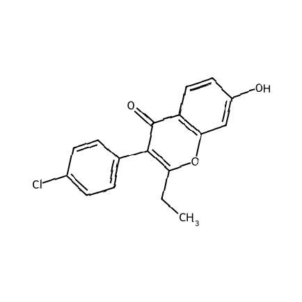 CCc1oc2cc(O)ccc2c(=O)c1-c1ccc(Cl)cc1